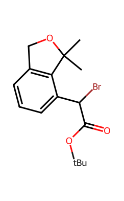 CC(C)(C)OC(=O)C(Br)c1cccc2c1C(C)(C)OC2